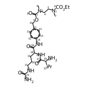 CCOC(=O)N(C)CCN(C)C(=O)OCc1ccc(NC(=O)C(CCCNC(N)=O)NC(=O)C(N)C(C)C)cc1